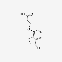 O=C(O)CCOc1cccc2c1CCC2=O